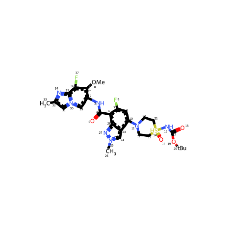 COc1c(NC(=O)c2c(F)cc(N3CC[SH](=O)(NC(=O)OC(C)(C)C)CC3)c3cn(C)nc23)cn2cc(C)nc2c1F